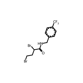 O=C(NCc1ccc(C(F)(F)F)cc1)C(Br)CCBr